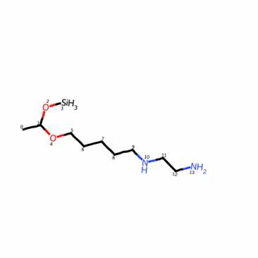 CC(O[SiH3])OCCCCCNCCN